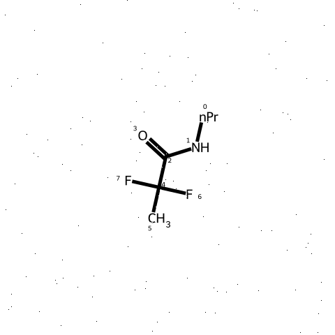 CCCNC(=O)C(C)(F)F